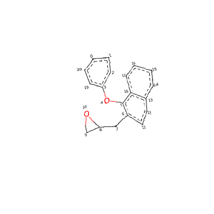 c1ccc(Oc2c(CC3CO3)ccc3ccccc23)cc1